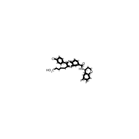 O=C(O)CCCCc1nc2cc(C(=O)N[C@@H]3CCOc4cc(F)c(F)cc43)ccc2nc1-c1ccc(Cl)cc1